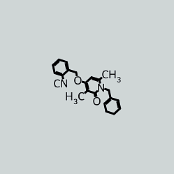 Cc1c(OCc2ccccc2C#N)cc(C)n(CC2=CCCC=C2)c1=O